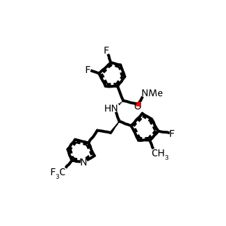 CNC(=O)[C@H](N[C@H](CCc1ccc(C(F)(F)F)nc1)c1ccc(F)c(C)c1)c1ccc(F)c(F)c1